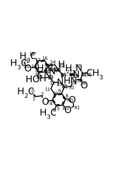 C=CCOc1c(C)c2c(c3c1CC1[C@@H]4c5c(cc(C)c(OC)c5O)C[C@@H]([C@H](C#N)N1[C@H]3CNC(=O)[C@H](C)N)N4C)OCO2